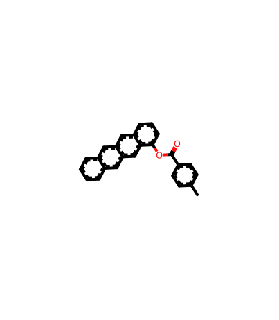 Cc1ccc(C(=O)Oc2cccc3cc4cc5ccccc5cc4cc23)cc1